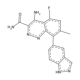 Cc1cc(F)c2c(N)c(C(N)=O)nnc2c1-c1ccc2[nH]ncc2c1